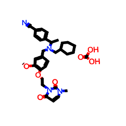 COc1cc(CN(CC2CCCCC2)C(C)c2ccc(C#N)cc2)ccc1OCCn1c(=O)ccn(C)c1=O.O=C(O)O